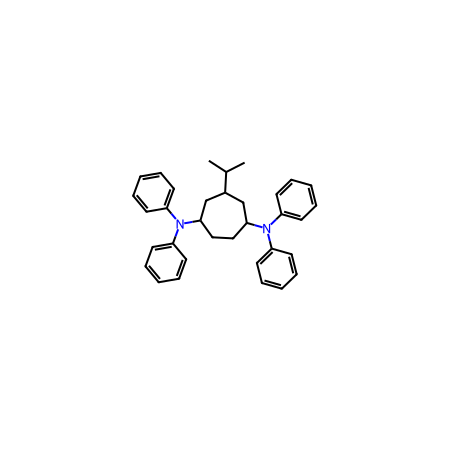 CC(C)C1CC(N(c2ccccc2)c2ccccc2)CCC(N(c2ccccc2)c2ccccc2)C1